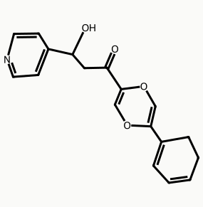 O=C(CC(O)c1ccncc1)C1=COC(C2=CC=CCC2)=CO1